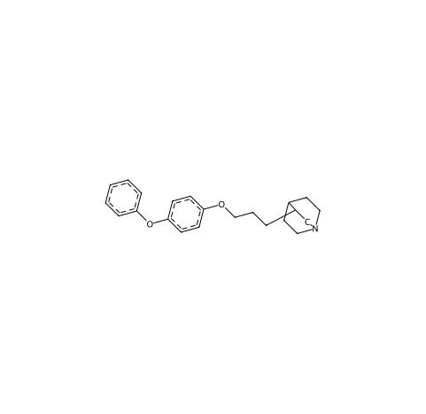 c1ccc(Oc2ccc(OCCCC3CN4CCC3CC4)cc2)cc1